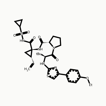 C=C[C@@H]1C[C@]1(NC(=O)[C@@H]1CCCN1C(=O)[C@@H](Nc1nc(-c2ccc(OCC)cc2)cs1)C(C)(C)C)C(=O)NS(=O)(=O)C1CC1